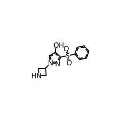 O=S(=O)(c1ccccc1)c1nn(C2CNC2)cc1O